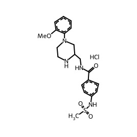 COc1ccccc1N1CCNC(CNC(=O)c2ccc(NS(C)(=O)=O)cc2)C1.Cl